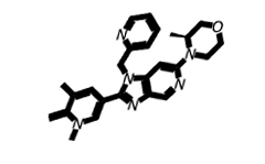 C=C1C(C)=CC(c2nc3cnc(N4CCOC[C@@H]4C)cc3n2Cc2ccccn2)=CN1C